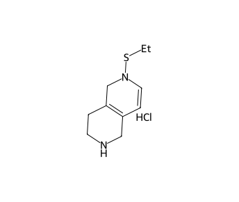 CCSN1C=CC2=C(CCNC2)C1.Cl